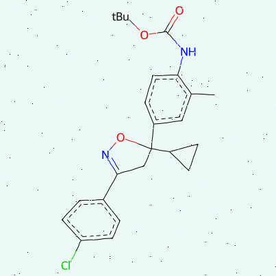 Cc1cc(C2(C3CC3)CC(c3ccc(Cl)cc3)=NO2)ccc1NC(=O)OC(C)(C)C